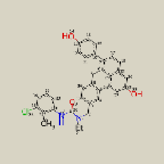 CCN(Cc1ccc(Cc2c(-c3ccc(O)cc3)ccc3cc(O)ccc23)cc1)C(=O)Nc1cccc(Cl)c1C